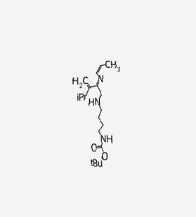 C=C(/C(CNCCCCNC(=O)OC(C)(C)C)=N\C=C/C)C(C)C